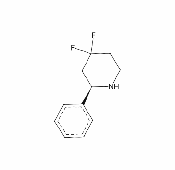 FC1(F)CCN[C@@H](c2ccccc2)C1